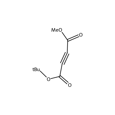 COC(=O)C#CC(=O)OC(C)(C)C